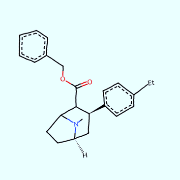 CCc1ccc([C@H]2C[C@H]3CCC(C2C(=O)OCc2ccccc2)N3C)cc1